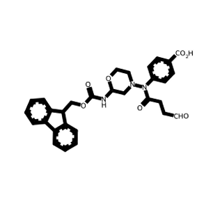 O=CCCC(=O)N(c1ccc(C(=O)O)cc1)N1CCOC(NC(=O)OCC2c3ccccc3-c3ccccc32)C1